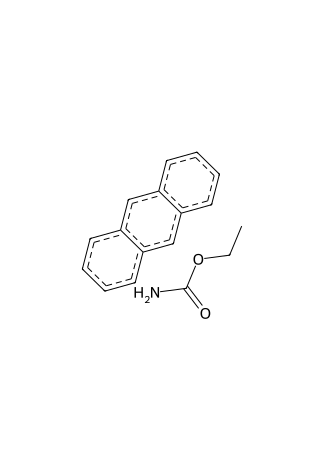 CCOC(N)=O.c1ccc2cc3ccccc3cc2c1